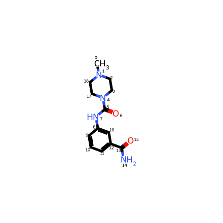 CN1CCN(C(=O)Nc2cccc(C(N)=O)c2)CC1